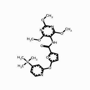 COc1nc(OC)c(NC(=O)c2ccc(Oc3cc([Si](C)(C)C)ccn3)o2)c(OC)n1